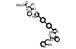 COC(=O)N[C@H](C(=O)N1CCC[C@H]1c1ncc(-c2ccc(-c3ccc(-c4cnc([C@@H]5C6CCC(C6)C5C(=O)NCc5cccnc5C(C)C)[nH]4)cc3)cc2)[nH]1)C(C)C